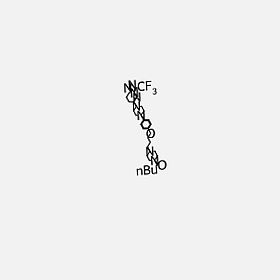 CCCCC(=O)N1CCN(CCCOc2ccc(N3CCN(C4=Nn5c(nnc5C(F)(F)F)CC4)CC3)cc2)CC1